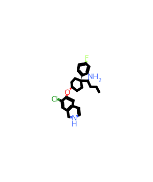 CCC[C@H](N)[C@]1(c2ccc(F)cc2)CC[C@H](Oc2cc3c(cc2Cl)CNC=C3)CC1